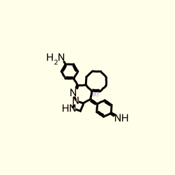 N=C1C=CC(=C2/C3=C/CCCCCC3C(c3ccc(N)cc3)=NN3NCC23)C=C1